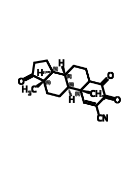 C[C@]12C=C(C#N)C(=O)C(=O)C1CC[C@@H]1[C@@H]2CC[C@]2(C)C(=O)CC[C@@H]12